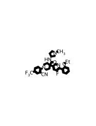 CCOc1ccccc1-c1ncc(C2(C(=O)N[C@H]3CCN(C)C3)CCN(c3ccc(C(F)(F)F)cc3C#N)CC2)cc1F